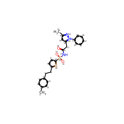 Cc1ccc(CCc2ccc(S(=O)(=O)NC(=O)Cc3cc(C)nn3-c3ccccc3)s2)cc1